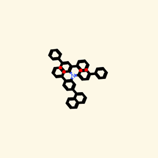 c1ccc(-c2ccc(N(c3ccc(-c4ccccc4)cc3-c3ccccc3)c3cc(-c4cccc5ccccc45)ccc3-c3ccccc3)cc2)cc1